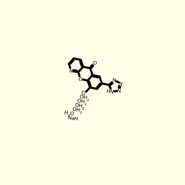 O.O.O.O.O.O=c1c2cccnc2oc2c(Cl)cc(-c3nnn[nH]3)cc12.[NaH]